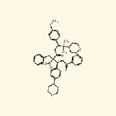 CSc1ccc(C(CC(=O)C(Cc2ccccc2)(C(CC(=O)c2ccccc2)c2ccc(N3CCOCC3)cc2)N(C)C)C(C)(C)N2CCOCC2)cc1